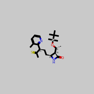 CC(=S)[C@H](CC[C@@H]1NC(=O)[C@@H]1[C@@H](C)O[Si](C)(C)C(C)(C)C)c1ncccc1C